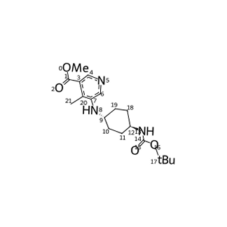 COC(=O)c1cncc(N[C@H]2CC[C@H](NC(=O)OC(C)(C)C)CC2)c1C